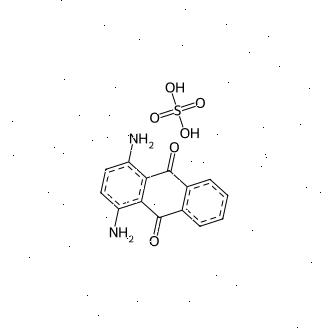 Nc1ccc(N)c2c1C(=O)c1ccccc1C2=O.O=S(=O)(O)O